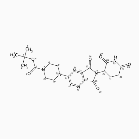 CC(C)(C)OC(=O)N1CCN(c2cnc3c(n2)C(=O)N(C2CCC(=O)NC2=O)C3=O)CC1